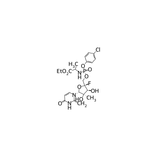 C=C1NC(=O)C=CN1[C@@H]1O[C@](F)(COP(=O)(NC(C)C(=O)OCC)Oc2ccc(Cl)cc2)[C@@H](O)[C@@]1(C)O